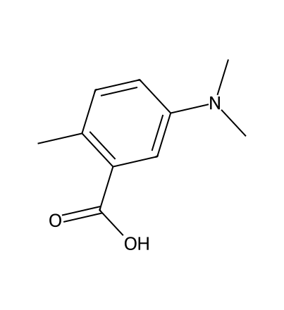 Cc1ccc(N(C)C)cc1C(=O)O